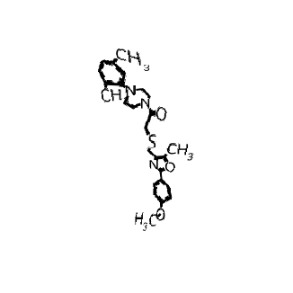 COc1ccc(-c2nc(CSCC(=O)N3CCN(c4cc(C)ccc4C)CC3)c(C)o2)cc1